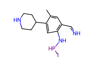 Cc1cc(C=N)c(NPI)cc1C1CCNCC1